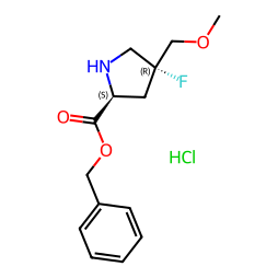 COC[C@]1(F)CN[C@H](C(=O)OCc2ccccc2)C1.Cl